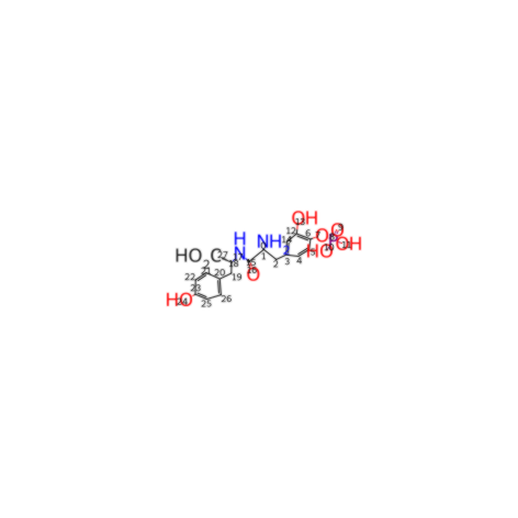 N[C@@H](Cc1ccc(OP(=O)(O)O)c(O)c1)C(=O)N[C@@H](Cc1ccc(O)cc1)C(=O)O